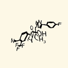 CC(O)(Cn1cc(-c2ccc(F)cc2)nn1)C(=O)Nc1ccc(C#N)c(C(F)(F)F)c1